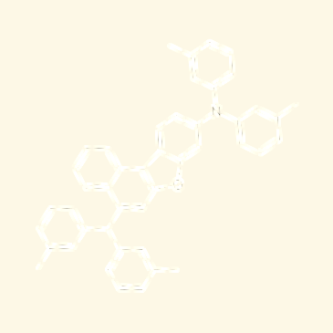 Cc1cccc(C(c2cccc(C)c2)c2cc3oc4cc(N(c5cccc(C)c5)c5cccc(C)c5)ccc4c3c3ccccc23)c1